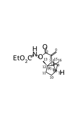 C=C(C(=O)ONC(=O)OCC)C1C[C@H]2CC[C@@]1(C)C2(C)C